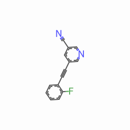 N#Cc1cncc(C#Cc2ccccc2F)c1